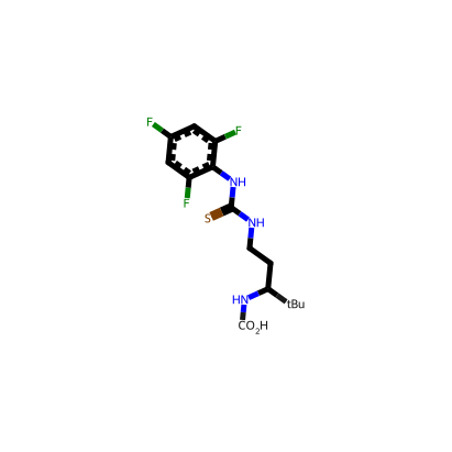 CC(C)(C)C(CCNC(=S)Nc1c(F)cc(F)cc1F)NC(=O)O